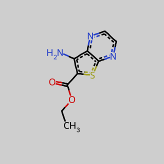 CCOC(=O)c1sc2nccnc2c1N